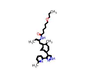 C=C1\C=C/C(c2c[nH]nc2-c2cccc(C)n2)=C/C=C/C1=C/C(=C\C)NC(=O)CCCCCOCCC